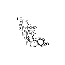 CC(=O)O[C@H]1[C@H]2O[C@]23[C@@H]2CC[C@]4(O)C[C@@H](O)CC[C@]4(C=O)[C@H]2CC[C@]3(C)[C@H]1c1ccc(=O)oc1